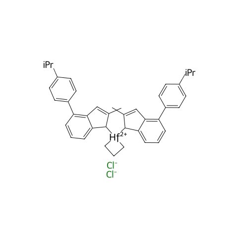 CC1=Cc2c(-c3ccc(C(C)C)cc3)cccc2[CH]1[Hf+2]1([CH]2C(C)=Cc3c(-c4ccc(C(C)C)cc4)cccc32)[CH2]C[CH2]1.[Cl-].[Cl-]